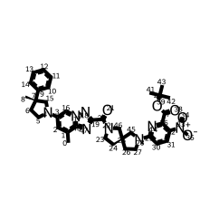 Cc1cc(N2CC[C@](C)(c3ccccc3)C2)cn2nc(C(=O)N3CC[C@@]4(CCN(c5ccc([N+](=O)[O-])c(C(=O)OC(C)(C)C)n5)C4)C3)nc12